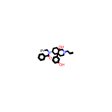 C=CCN1CCC2(c3cccc(O)c3)C[C@H](N(CC(C)C)C(=O)c3ccccc3)CCC2(O)C1